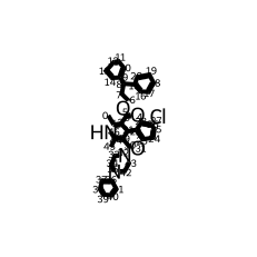 CC1=C(C(=O)OCCC(c2ccccc2)c2ccccc2)C(c2cccc(Cl)c2)C(C(=O)N2CCN(c3ccccc3)CC2)=C(C)N1